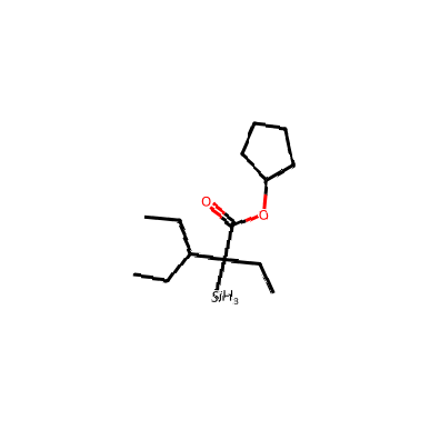 CCC(CC)C([SiH3])(CC)C(=O)OC1CCCC1